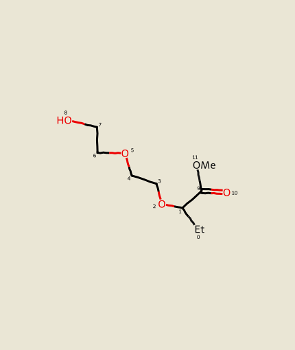 CCC(OCCOCCO)C(=O)OC